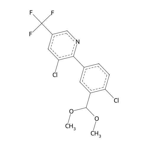 COC(OC)c1cc(-c2ncc(C(F)(F)F)cc2Cl)ccc1Cl